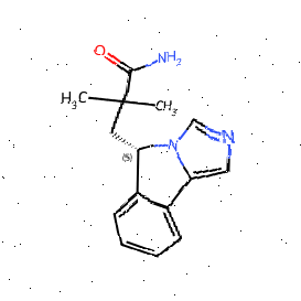 CC(C)(C[C@H]1c2ccccc2-c2cncn21)C(N)=O